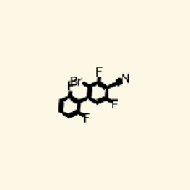 N#Cc1c(F)cc(-c2c(F)cccc2F)c(Br)c1F